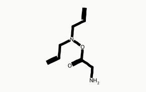 C=CCN(CC=C)OC(=O)CN